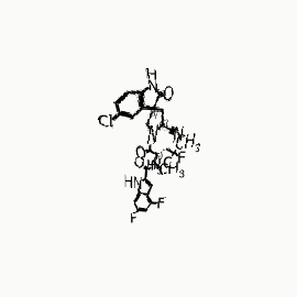 CN(C(=O)c1cc2c(F)cc(F)cc2[nH]1)[C@@H](CC(C)(C)F)C(=O)N1C[C@]2(C[C@H]1C#N)C(=O)Nc1ccc(Cl)cc12